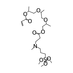 C=CC(=O)OC(C)COC(C)COC(C)COC(=O)CCN(C)CCC[Si](OC)(OC)OC